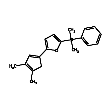 CC1=C(C)CC(c2ccc([Si](C)(C)c3ccccc3)o2)=C1